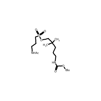 CC(=O)NCCCS(=O)(=O)OCC(C)(C)CCCNC(=O)OC(C)(C)C